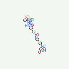 COc1cc(C2CCN(C(=O)CN3CCC(c4ccc(NC5CCC(=O)NC5=O)cc4)CC3)CC2)ccc1Nc1ncc(Cl)c(Nc2ccccc2C(C)=O)n1